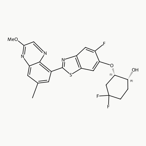 COc1cnc2c(-c3nc4cc(F)c(O[C@H]5CC(F)(F)CC[C@H]5O)cc4s3)cc(C)cc2n1